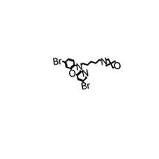 Brc1ccc2c(c1)Oc1cc(Br)cnc1N2CCCCCN1CC2(COC2)C1